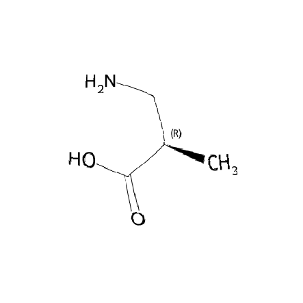 C[C@H](CN)C(=O)O